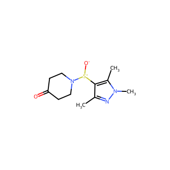 Cc1nn(C)c(C)c1[S+]([O-])N1CCC(=O)CC1